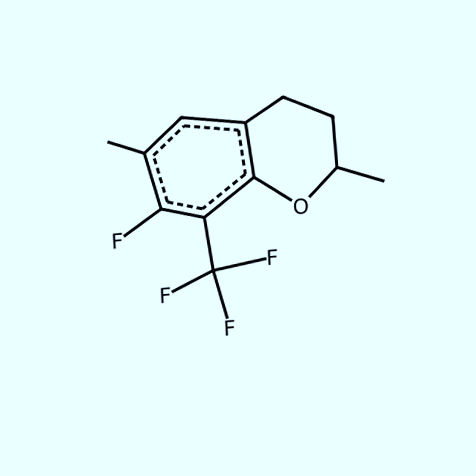 Cc1cc2c(c(C(F)(F)F)c1F)OC(C)CC2